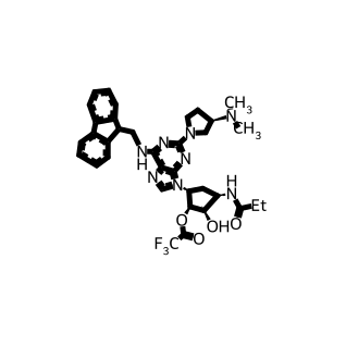 CCC(=O)N[C@H]1C[C@@H](n2cnc3c(NCC4c5ccccc5-c5ccccc54)nc(N4CC[C@@H](N(C)C)C4)nc32)[C@H](OC(=O)C(F)(F)F)[C@@H]1O